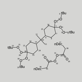 CC(C)(C)OOC1(OOC(C)(C)C)CCC(C(C)(C)C2CCC(OOC(C)(C)C)(OOC(C)(C)C)CC2)CC1.CCCCCCCCCCCC(=O)OOC(=O)CCCCCCCCCCC